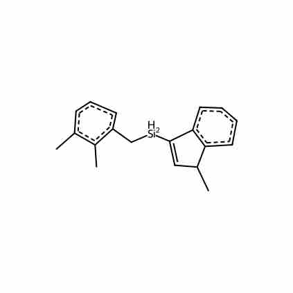 Cc1cccc(C[SiH2]C2=CC(C)c3ccccc32)c1C